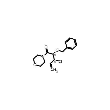 C=C[C@H](Cl)[C@H](OCc1ccccc1)C(=O)N1CCOCC1